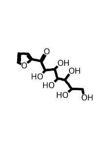 O=C(c1ccco1)C(O)C(O)C(O)C(O)C(O)CO